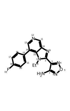 CCn1c(-c2nonc2N)nc2cncc(-c3ccc(F)cc3)c21